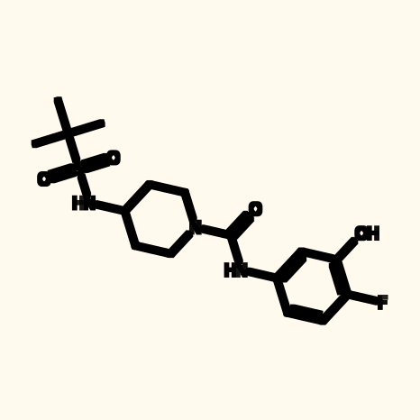 CC(C)(C)S(=O)(=O)NC1CCN(C(=O)Nc2ccc(F)c(O)c2)CC1